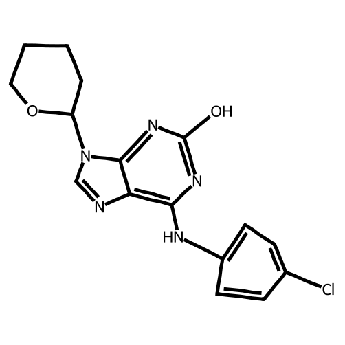 Oc1nc(Nc2ccc(Cl)cc2)c2ncn(C3CCCCO3)c2n1